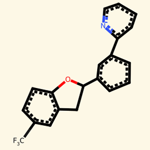 FC(F)(F)c1ccc2c(c1)CC(c1cccc(-c3ccccn3)c1)O2